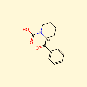 O=C(c1ccccc1)[C@@H]1CCCCN1C(=O)O